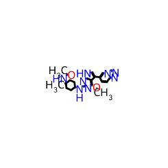 COc1nc(NC2CCC(C)(NC(C)=O)CC2)nc2[nH]cc(-c3ccc4nncn4c3)c12